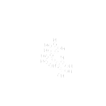 CCCC1O[C@H](OCC2O[C@H](OCC3O[C@H](O)C(O)C(O)[C@@H]3O)C(O)C(O)[C@@H]2O)C(O)C(O)[C@@H]1O